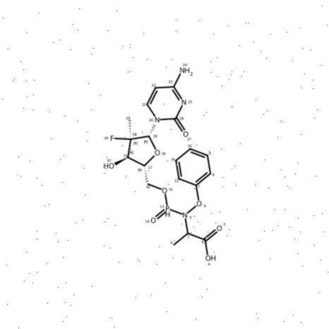 CC(C(=O)O)N(Oc1ccccc1)[PH](=O)OC[C@H]1O[C@@H](n2ccc(N)nc2=O)[C@](C)(F)[C@@H]1O